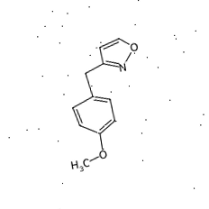 COc1ccc(Cc2[c]con2)cc1